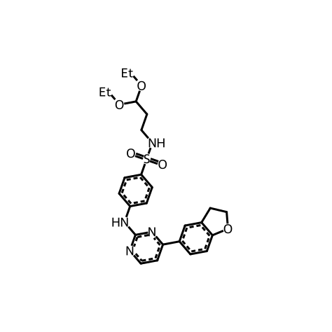 CCOC(CCNS(=O)(=O)c1ccc(Nc2nccc(-c3ccc4c(c3)CCO4)n2)cc1)OCC